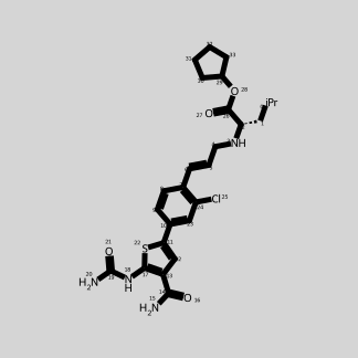 CC(C)C[C@H](NCC=Cc1ccc(-c2cc(C(N)=O)c(NC(N)=O)s2)cc1Cl)C(=O)OC1CCCC1